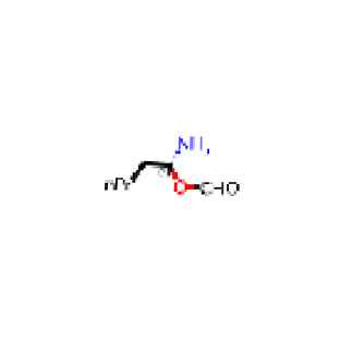 CCCC[C@H](N)OC=O